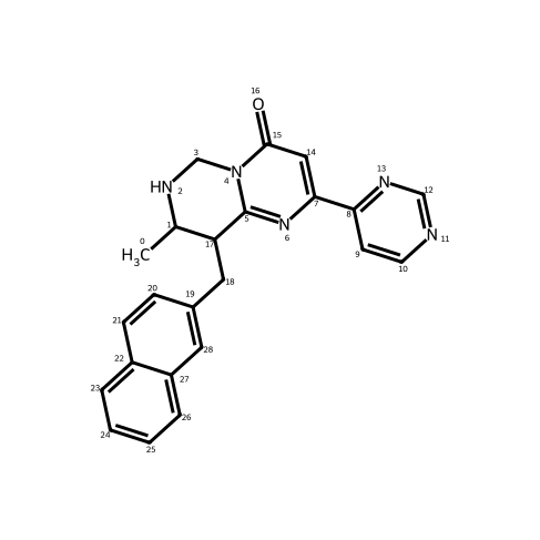 CC1NCn2c(nc(-c3ccncn3)cc2=O)C1Cc1ccc2ccccc2c1